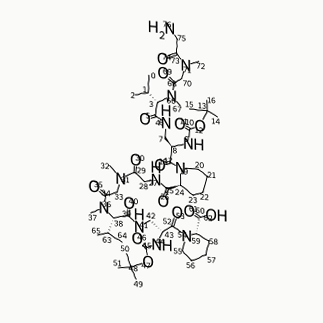 CC(C)[C@@H](C(=O)NC[C@@H](NC(=O)OC(C)(C)C)C(=O)N1CCCC[C@H]1C(=O)NCC(=O)N(C)CC(=O)N(C)[C@H](C(=O)NC[C@@H](NC(=O)OC(C)(C)C)C(=O)N1CCCC[C@H]1C(=O)O)C(C)C)N(C)C(=O)CN(C)C(=O)CN